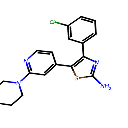 Nc1nc(-c2cccc(Cl)c2)c(-c2ccnc(N3CCCCC3)c2)s1